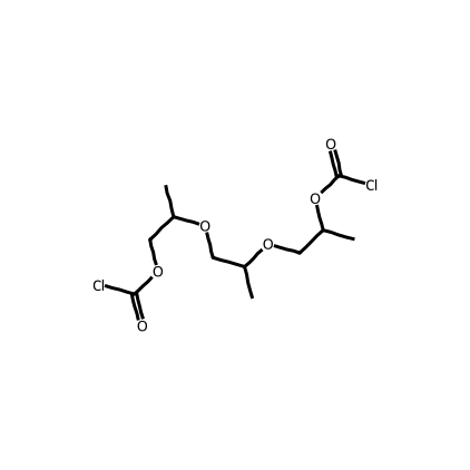 CC(COC(=O)Cl)OCC(C)OCC(C)OC(=O)Cl